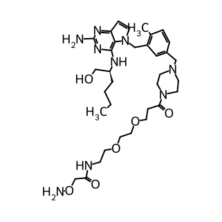 CCCC[C@@H](CO)Nc1nc(N)nc2ccn(Cc3cc(CN4CCN(C(=O)CCOCCOCCNC(=O)CON)CC4)ccc3C)c12